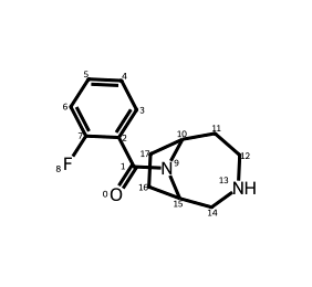 O=C(c1ccccc1F)N1C2CCNCC1CC2